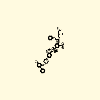 O=[N+]([O-])c1cc(S(=O)(=O)Nc2ncnc3cc(N4CCN(Cc5cc(Cl)ccc5-c5ccccc5)CC4)ccc23)ccc1N[C@H](CCNCC(F)F)CSc1ccccc1